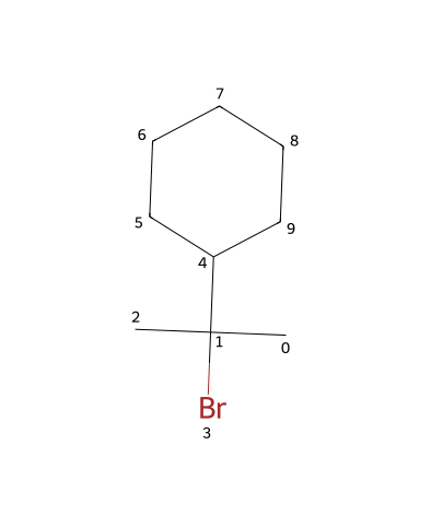 CC(C)(Br)C1CCCCC1